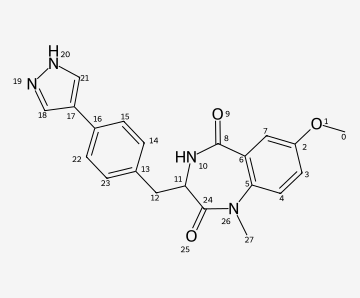 COc1ccc2c(c1)C(=O)NC(Cc1ccc(-c3cn[nH]c3)cc1)C(=O)N2C